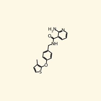 Cc1ccsc1Oc1ccc(CNC(=O)c2cccnc2N)cc1